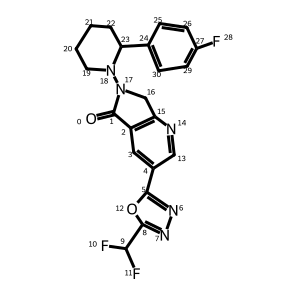 O=C1c2cc(-c3nnc(C(F)F)o3)cnc2CN1N1CCCCC1c1ccc(F)cc1